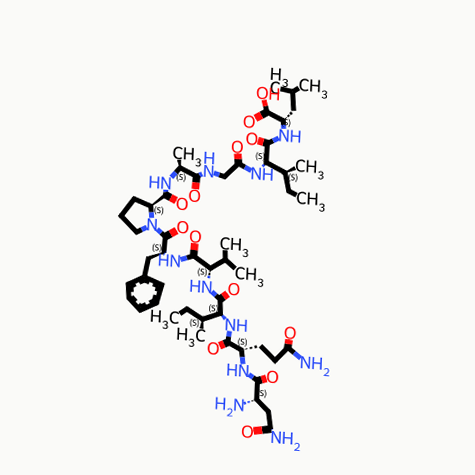 CC[C@H](C)[C@H](NC(=O)CNC(=O)[C@H](C)NC(=O)[C@@H]1CCCN1C(=O)[C@H](Cc1ccccc1)NC(=O)[C@@H](NC(=O)[C@@H](NC(=O)[C@H](CCC(N)=O)NC(=O)[C@@H](N)CC(N)=O)[C@@H](C)CC)C(C)C)C(=O)N[C@@H](CC(C)C)C(=O)O